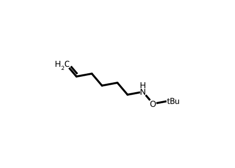 C=CCCCCNOC(C)(C)C